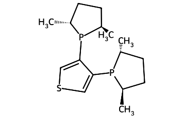 C[C@@H]1CC[C@@H](C)P1c1cscc1P1[C@H](C)CC[C@H]1C